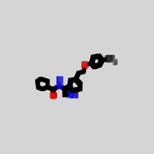 O=C(Nc1c[nH]c2ccc(CCOc3ccc(C(F)(F)F)cc3)cc12)C1CCCCC1